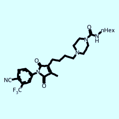 CCCCCCNC(=O)N1CCN(CCCCC2=C(C)C(=O)N(c3ccc(C#N)c(C(F)(F)F)c3)C2=O)CC1